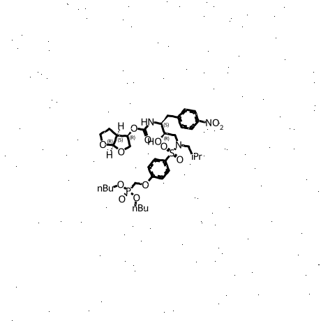 CCCCOP(=O)(COc1ccc(S(=O)(=O)N(CC(C)C)C[C@@H](O)[C@H](Cc2ccc([N+](=O)[O-])cc2)NC(=O)O[C@H]2CO[C@H]3OCC[C@H]32)cc1)OCCCC